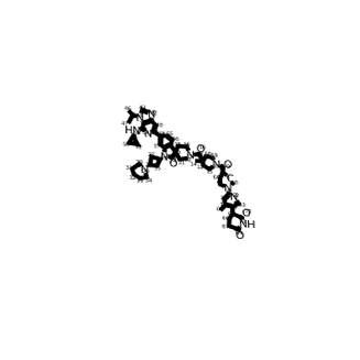 Cc1cc(N2CCC(C(=O)N3CCC(C)(C(=O)N4CCC5(CC4)C(=O)N([C@H]4C[C@@H](N6CCCCC6)C4)c4cc(-c6cc7ncn(C(C)C)c7c(NC7CC7)n6)ccc45)CC3)CC2)ncc1C1CCC(=O)NC1=O